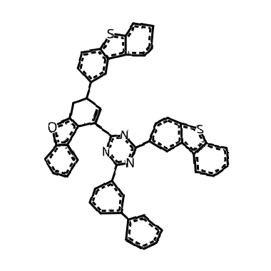 C1=C(c2nc(-c3cccc(-c4ccccc4)c3)nc(-c3ccc4sc5ccccc5c4c3)n2)c2c(oc3ccccc23)CC1c1ccc2sc3ccccc3c2c1